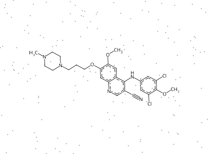 COc1cc2c(Nc3cc(Cl)c(OC)c(Cl)c3)c(C#N)cnc2cc1OCCCN1CCN(C)CC1